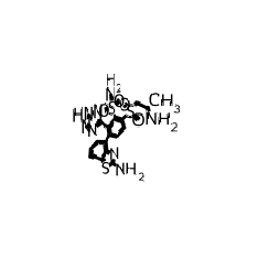 C[C@@H](N)CS(=O)(=O)c1ccc(-c2cccc3sc(N)nc23)c(-c2nn[nH]n2)c1S(N)(=O)=O